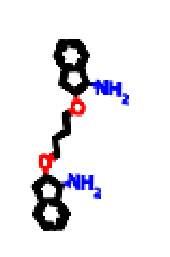 N[C@@H]1c2ccccc2C[C@H]1OCCCCO[C@@H]1Cc2ccccc2[C@H]1N